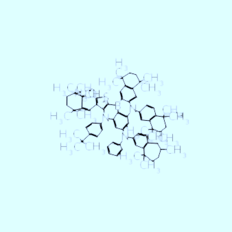 C=C1/C(=C\c2c(C)sc3c2N(c2ccc(C(C)(C)C)cc2)c2cc(N(c4ccccc4)c4ccc5c(c4)C(C)(C)CCC(C)C5C)cc4c2B3c2cc3c(cc2N4c2ccc4c(c2)C(C)(C)CCC4(C)C)C(C)(C)CCC3(C)C)C(C)(C)CCC1(C)C